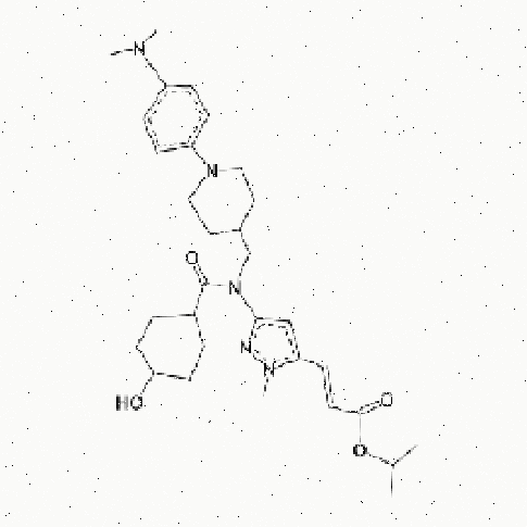 CC(C)OC(=O)/C=C/c1cc(N(CC2CCN(c3ccc(N(C)C)cc3)CC2)C(=O)C2CCC(O)CC2)nn1C